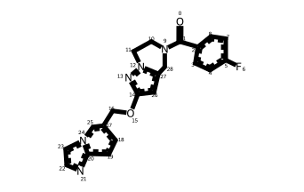 O=C(c1ccc(F)cc1)N1CCn2nc(OCc3ccc4nccn4c3)cc2C1